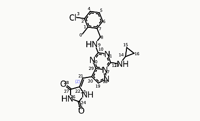 Cc1c(Cl)cccc1CNc1nc(NC2CC2)n2ncc(/C=C3\NC(=O)NC3=O)c2n1